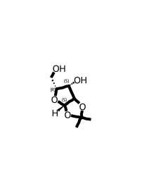 CC1(C)OC2[C@@H](O[C@H](CO)[C@@H]2O)O1